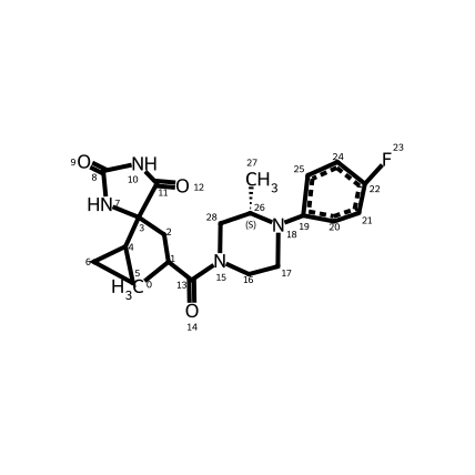 CC(CC1(C2CC2)NC(=O)NC1=O)C(=O)N1CCN(c2ccc(F)cc2)[C@@H](C)C1